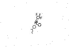 CCCC(C)[C@H]1CC[C@H](C(=NN=Cc2cc(F)c(F)c(F)c2)c2ccccc2)CC1